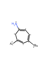 CC(=O)C1=CC(C(C)(C)C)=CC=C(N)C1